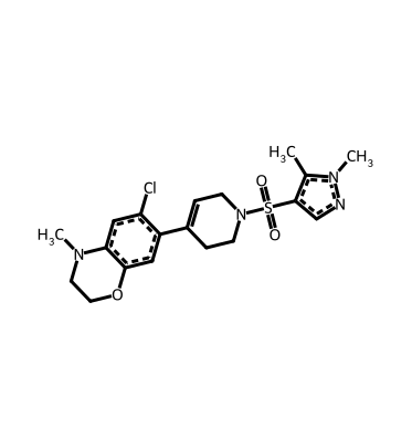 Cc1c(S(=O)(=O)N2CC=C(c3cc4c(cc3Cl)N(C)CCO4)CC2)cnn1C